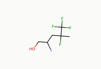 CC(F)(CC(I)CO)C(F)(F)F